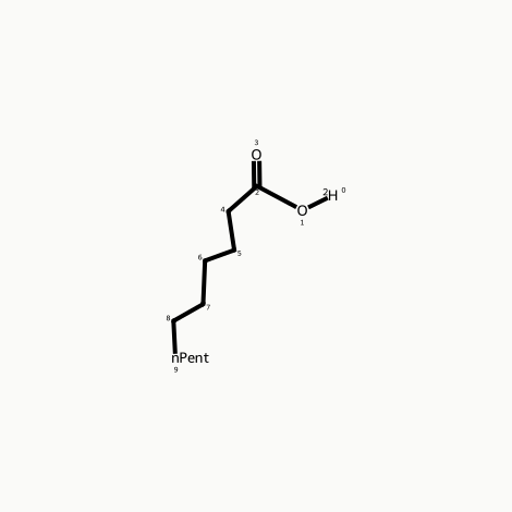 [2H]OC(=O)CCCCCCCCCC